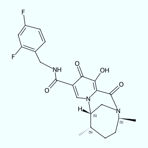 C[C@H]1CC[C@H](C)N2C[C@H]1n1cc(C(=O)NCc3ccc(F)cc3F)c(=O)c(O)c1C2=O